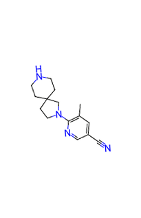 Cc1cc(C#N)cnc1N1CCC2(CCNCC2)C1